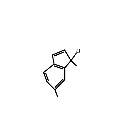 [Li][C]1(C)C=Cc2ccc(C)cc21